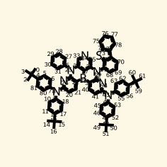 CC(C)(C)c1ccc(N(c2ccc(C(C)(C)C)cc2)c2ccc3c(n2)N(c2ccccc2)c2cncc4c2B3c2ccc(N(c3ccc(C(C)(C)C)cc3)c3ccc(C(C)(C)C)cc3)nc2N4c2cccc3c2sc2ccccc23)cc1